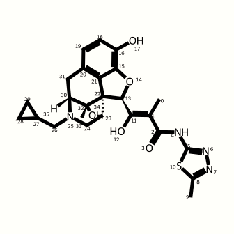 C/C(C(=O)Nc1nnc(C)s1)=C(/O)[C@@H]1Oc2c(O)ccc3c2[C@@]12CCN(CC1CC1)[C@H](C3)[C@@]2(C)O